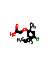 C=CC.Cc1cc(Cl)ccc1OCC(=O)O